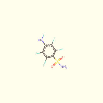 NS(=O)(=O)c1c(F)c(F)c(NF)c(F)c1F